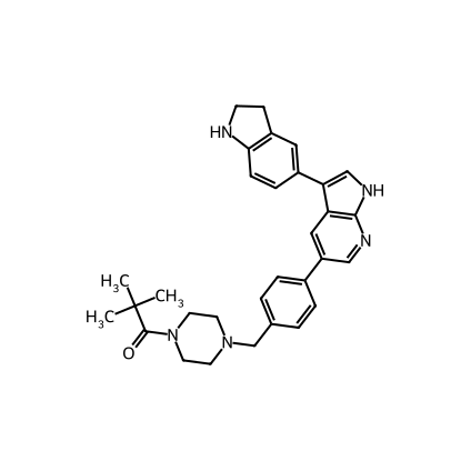 CC(C)(C)C(=O)N1CCN(Cc2ccc(-c3cnc4[nH]cc(-c5ccc6c(c5)CCN6)c4c3)cc2)CC1